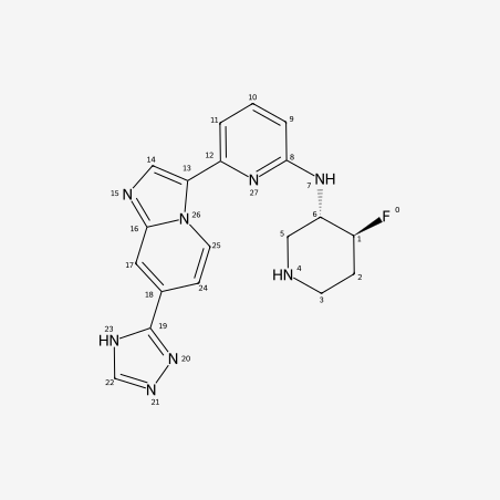 F[C@H]1CCNC[C@@H]1Nc1cccc(-c2cnc3cc(-c4nnc[nH]4)ccn23)n1